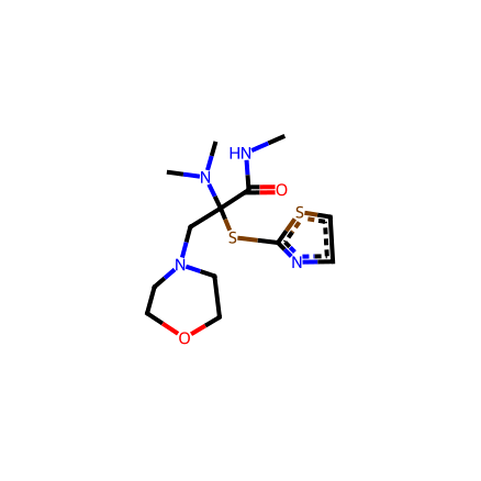 CNC(=O)C(CN1CCOCC1)(Sc1nccs1)N(C)C